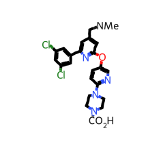 CNCc1cc(Oc2ccc(N3CCN(C(=O)O)CC3)nc2)nc(-c2cc(Cl)cc(Cl)c2)c1